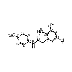 CC(C)c1cc(Cl)cc(CC(=O)NC2=CCN(C(C)(C)C)C=C2)c1O